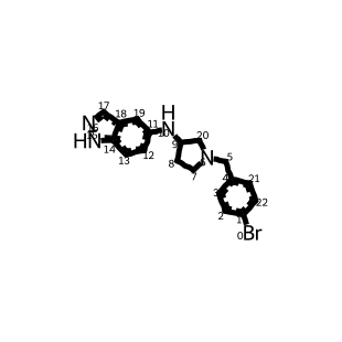 Brc1ccc(CN2CCC(Nc3ccc4[nH]ncc4c3)C2)cc1